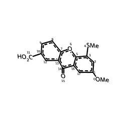 COc1cc(SC)c2oc3ccc(C(=O)O)cc3c(=O)c2c1